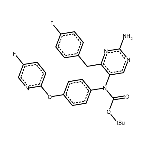 CC(C)(C)OC(=O)N(c1ccc(Oc2ccc(F)cn2)cc1)c1cnc(N)nc1Cc1ccc(F)cc1